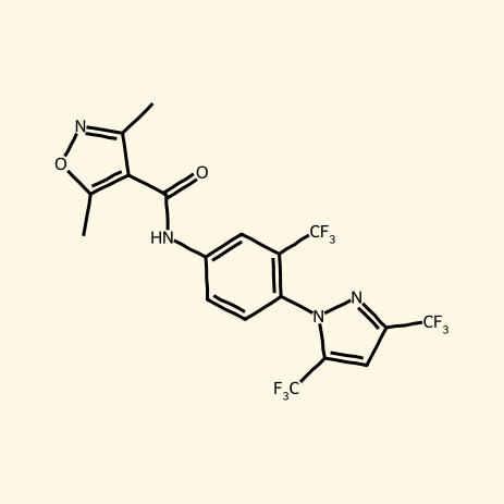 Cc1noc(C)c1C(=O)Nc1ccc(-n2nc(C(F)(F)F)cc2C(F)(F)F)c(C(F)(F)F)c1